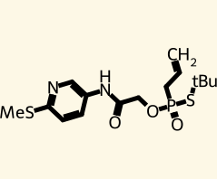 C=CCP(=O)(OCC(=O)Nc1ccc(SC)nc1)SC(C)(C)C